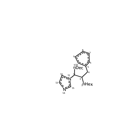 CCCCCCCCCCC(C(CCCCCC)Cc1ccccc1)n1ccnc1